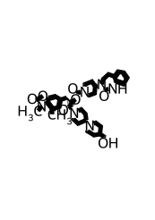 Cc1cc(C[C@@H](OC(=O)N2CCC(N3CCc4ccccc4NC3=O)CC2)C(=O)N2CCC(N3CCC(CO)CC3)CC2)cc2oc(=O)n(C)c12